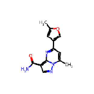 Cc1cc(-c2cc(C)n3ncc(C(N)=O)c3n2)co1